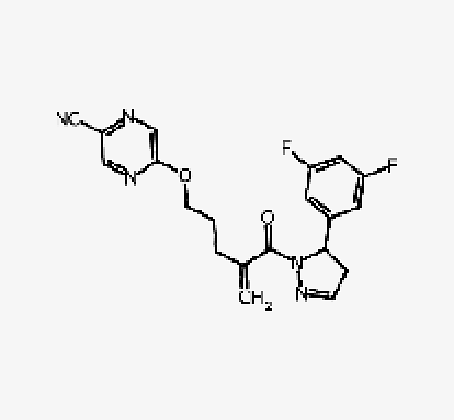 C=C(CCCOc1cnc(C#N)cn1)C(=O)N1N=CC[C@@H]1c1cc(F)cc(F)c1